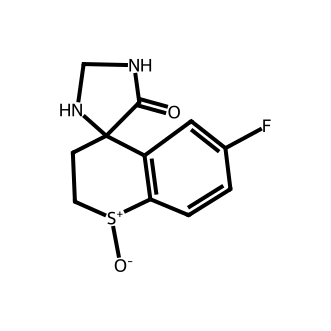 O=C1NCNC12CC[S+]([O-])c1ccc(F)cc12